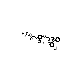 CCOC(=O)CSc1ccc(OCCC(C)Oc2ncc(Cl)cc2Oc2ccccc2)cc1C